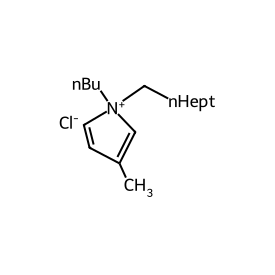 CCCCCCCC[N+]1(CCCC)C=CC(C)=C1.[Cl-]